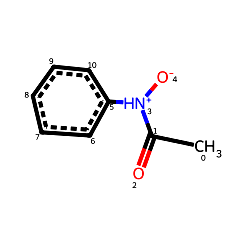 CC(=O)[NH+]([O-])c1ccccc1